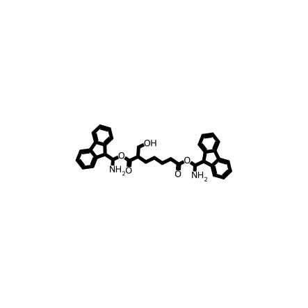 NC(OC(=O)CCCCC(CO)C(=O)OC(N)C1c2ccccc2-c2ccccc21)C1c2ccccc2-c2ccccc21